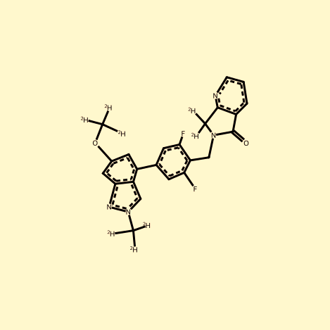 [2H]C([2H])([2H])Oc1cc(-c2cc(F)c(CN3C(=O)c4cccnc4C3([2H])[2H])c(F)c2)c2cn(C([2H])([2H])[2H])nc2c1